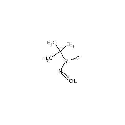 C=N[S@@+]([O-])C(C)(C)C